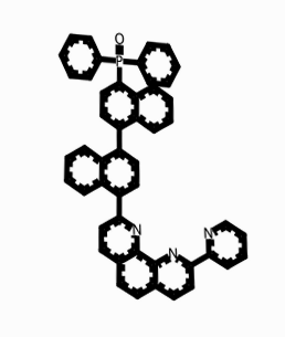 O=P(c1ccccc1)(c1ccccc1)c1ccc(-c2ccc(-c3ccc4ccc5ccc(-c6ccccn6)nc5c4n3)c3ccccc23)c2ccccc12